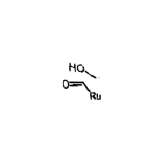 O=[CH][Ru].[CH2]O